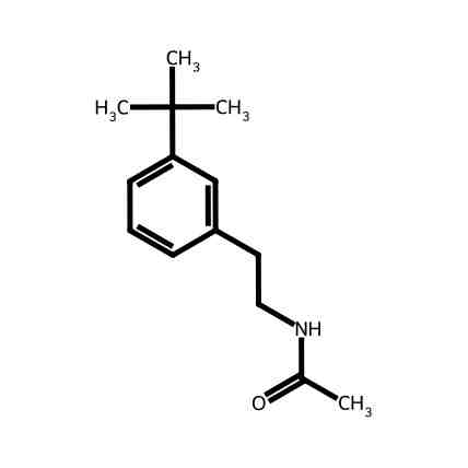 CC(=O)NCCc1cccc(C(C)(C)C)c1